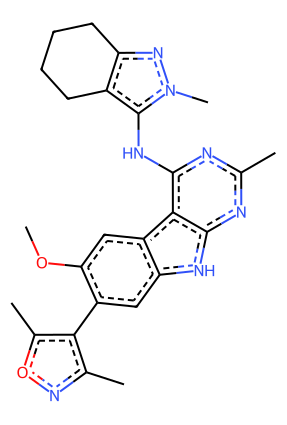 COc1cc2c(cc1-c1c(C)noc1C)[nH]c1nc(C)nc(Nc3c4c(nn3C)CCCC4)c12